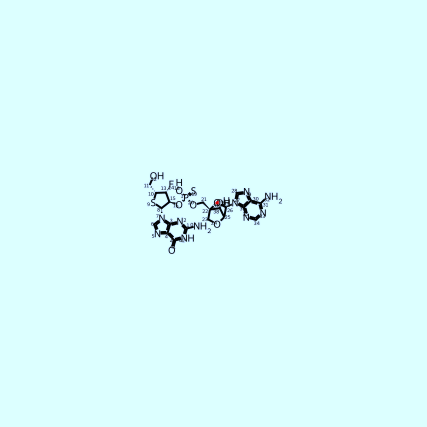 Nc1nc2c(ncn2[C@@H]2S[C@H](CO)[C@H](F)[C@H]2OP(O)(=S)OC[C@@]23COC([C@H](n4cnc5c(N)ncnc54)O2)[C@@H]3O)c(=O)[nH]1